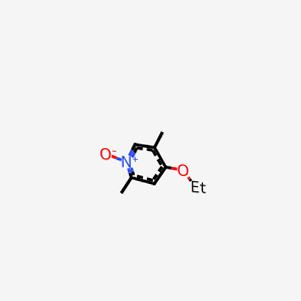 CCOc1cc(C)[n+]([O-])cc1C